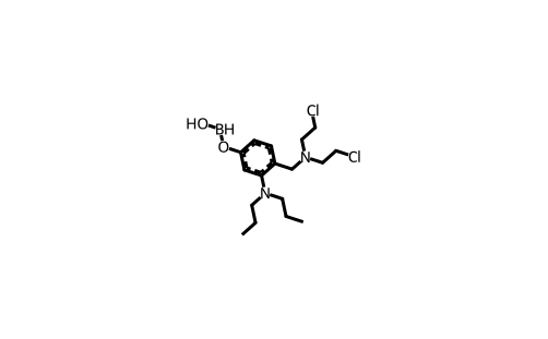 CCCN(CCC)c1cc(OBO)ccc1CN(CCCl)CCCl